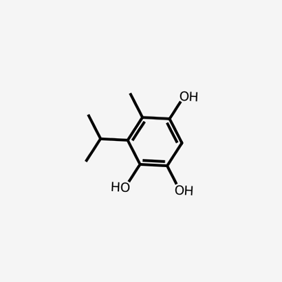 Cc1c(O)cc(O)c(O)c1C(C)C